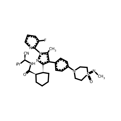 CN=S1(=O)CCN(c2ccc(-c3c([C@@H]4CCCC[C@H]4C(=O)N[C@H](C#N)C(C)C)nn(-c4ncccc4F)c3C)cc2)CC1